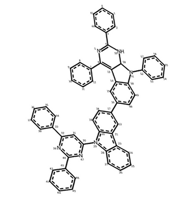 c1ccc(C2=NC(c3ccccc3)=C3c4cc(-c5ccc6c(c5)c5ccccc5n6-c5cc(-c6ccccc6)nc(-c6ccccc6)n5)ccc4N(c4ccccc4)C3N2)cc1